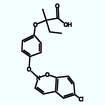 CCC(C)(Oc1ccc(ON2C=Cc3cc(Cl)ccc3O2)cc1)C(=O)O